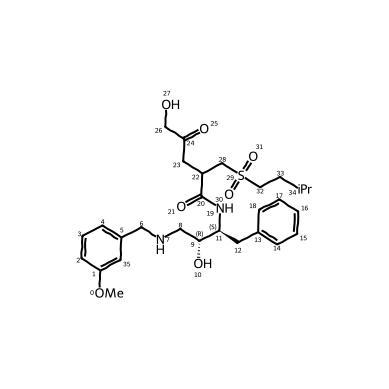 COc1cccc(CNC[C@@H](O)[C@H](Cc2ccccc2)NC(=O)C(CC(=O)CO)CS(=O)(=O)CCC(C)C)c1